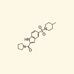 CC1CCN(S(=O)(=O)c2ccc3[nH]c(C(=O)N4CCCC4)cc3c2)CC1